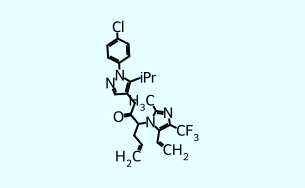 C=CCC(C(=O)Cc1cnn(-c2ccc(Cl)cc2)c1C(C)C)n1c(C)nc(C(F)(F)F)c1C=C